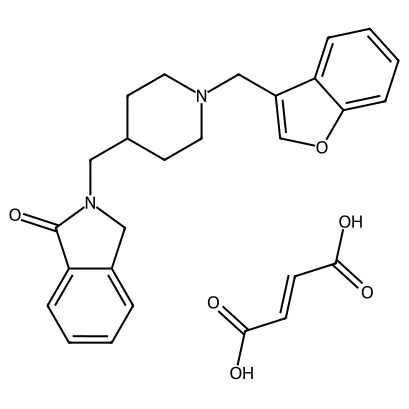 O=C(O)C=CC(=O)O.O=C1c2ccccc2CN1CC1CCN(Cc2coc3ccccc23)CC1